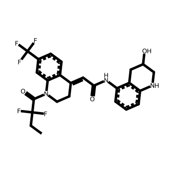 CCC(F)(F)C(=O)N1CC/C(=C\C(=O)Nc2cccc3c2CC(O)CN3)c2ccc(C(F)(F)F)cc21